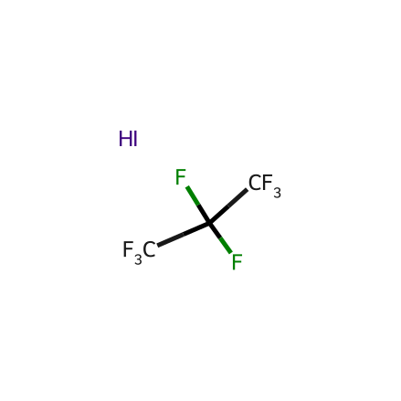 FC(F)(F)C(F)(F)C(F)(F)F.I